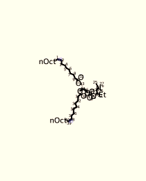 CCCCCCCC/C=C\CCCCCCCC(=O)OC[C@H](COP(=O)([O-])O[C@@H](CC)C[N+](C)(C)C)OC(=O)CCCCCCC/C=C\CCCCCCCC